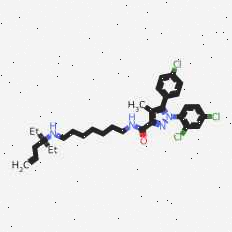 C=CCC(CC)(CC)NCCCCCCCNC(=O)c1nn(-c2ccc(Cl)cc2Cl)c(-c2ccc(Cl)cc2)c1C